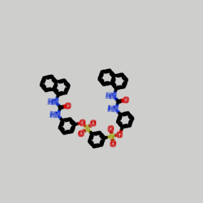 O=C(Nc1cccc(OS(=O)(=O)c2cccc(S(=O)(=O)Oc3cccc(NC(=O)Nc4cccc5ccccc45)c3)c2)c1)Nc1cccc2ccccc12